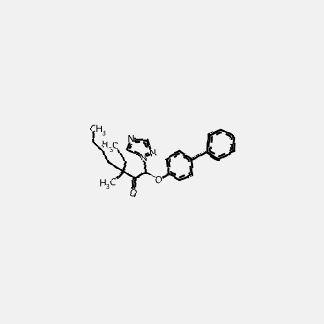 CCCCC(C)(CC)C(=O)C(Oc1ccc(-c2ccccc2)cc1)n1cncn1